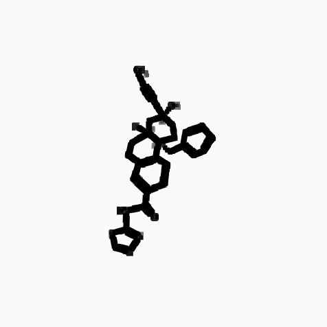 CC#C[C@@]1(O)CC[C@@]2(Cc3ccccc3)c3ccc(C(=O)Nc4nncs4)cc3CC[C@@H]2C1